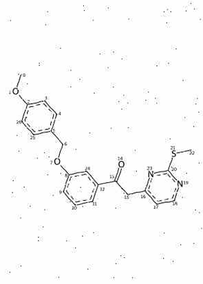 COc1ccc(COc2cccc(C(=O)Cc3ccnc(SC)n3)c2)cc1